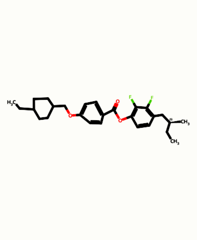 CCC1CCC(COc2ccc(C(=O)Oc3ccc(C[C@@H](C)CC)c(F)c3F)cc2)CC1